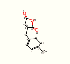 CC(C)C1=CC=C(CC2=CC(=O)OC2=O)CC1